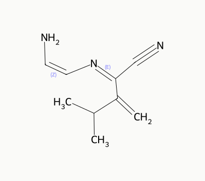 C=C(/C(C#N)=N\C=C/N)C(C)C